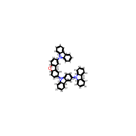 c1ccc2c(c1)c1ccccc1n2-c1ccc2oc3ccc(-n4c5ccccc5c5cc(-n6c7ccccc7c7ccccc76)ccc54)cc3c2c1